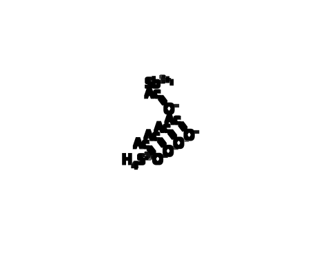 CC(=O)[O-].CC(=O)[O-].CC(=O)[O-].CC(=O)[O-].CC(=O)[O-].[SH4+2].[Sb+3]